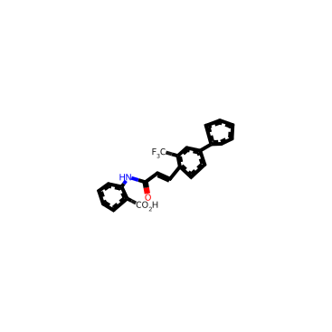 O=C(C=Cc1ccc(-c2ccccc2)cc1C(F)(F)F)Nc1ccccc1C(=O)O